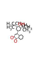 CC(C)(C)c1cc(C2=CC(=O)C(=O)c3ccccc32)cc(C(C)(C)C)c1O